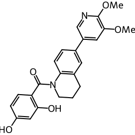 COc1cc(-c2ccc3c(c2)CCCN3C(=O)c2ccc(O)cc2O)cnc1OC